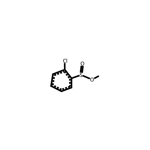 COS(=O)c1ccccc1Cl